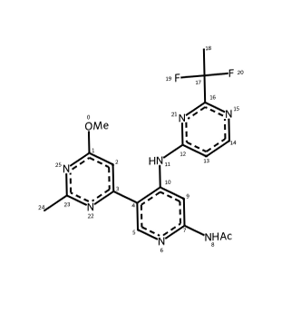 COc1cc(-c2cnc(NC(C)=O)cc2Nc2ccnc(C(C)(F)F)n2)nc(C)n1